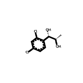 C[C@H](O)[C@@H](O)c1ccc(Cl)cc1Cl